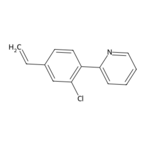 C=Cc1ccc(-c2ccccn2)c(Cl)c1